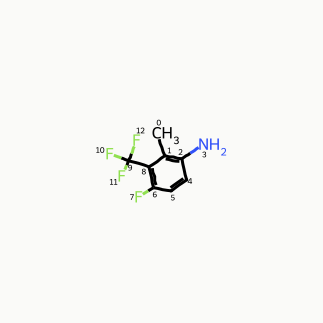 Cc1c(N)ccc(F)c1C(F)(F)F